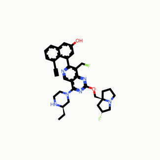 C#Cc1cccc2cc(O)cc(-c3ncc4c(N5CCN[C@H](CC)C5)nc(OC[C@@]56CCCN5C[C@H](F)C6)nc4c3CF)c12